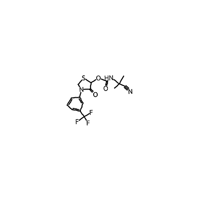 CC(C)(C#N)NC(=O)OC1SCN(c2cccc(C(F)(F)F)c2)C1=O